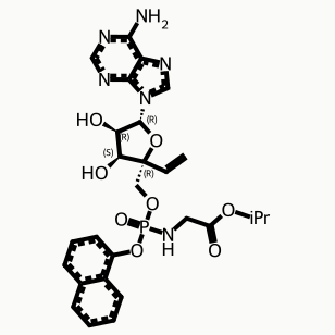 C=C[C@]1(COP(=O)(NCC(=O)OC(C)C)Oc2cccc3ccccc23)O[C@@H](n2cnc3c(N)ncnc32)[C@H](O)[C@@H]1O